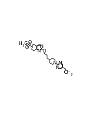 CCc1cnc(N2CCC(CCCOc3ncc4c(n3)CCN(S(C)(=O)=O)C4)CC2)nc1